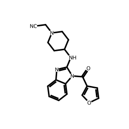 N#CCN1CCC(Nc2nc3ccccc3n2C(=O)c2ccoc2)CC1